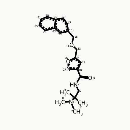 CN(C)C(C)(C)CNC(=O)c1cc(COCc2ccc3ccccc3c2)on1